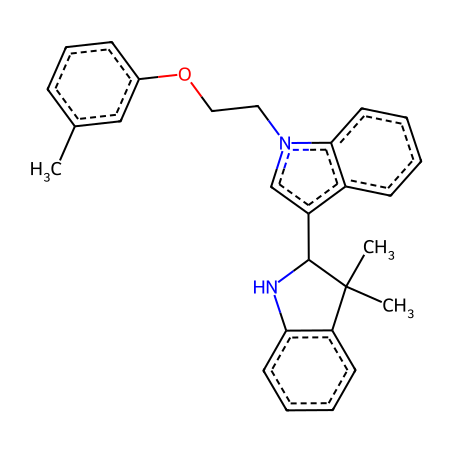 Cc1cccc(OCCn2cc(C3Nc4ccccc4C3(C)C)c3ccccc32)c1